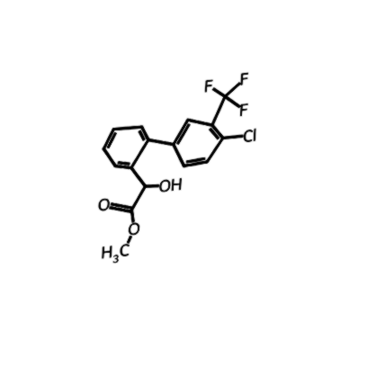 COC(=O)C(O)c1ccccc1-c1ccc(Cl)c(C(F)(F)F)c1